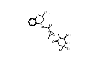 CCC1(CC)CC(=O)N(C[C@@H]2C(C)[C@H]2C(=O)N[C@H]2CC(C(F)(F)F)Oc3ccccc32)C(=N)N1